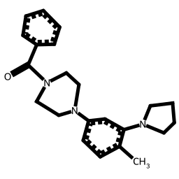 Cc1ccc(N2CCN(C(=O)c3ccccc3)CC2)cc1N1CCCC1